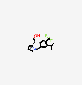 CC(C)c1cc(CN2CCC[C@H]2CCO)ccc1C(F)(F)F